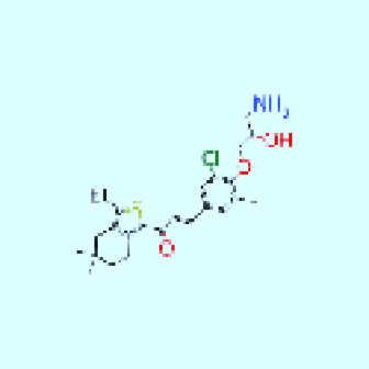 CCc1sc(C(=O)/C=C/c2cc(C)c(OCC(O)CN)c(Cl)c2)c2c1CC(C)(C)CC2